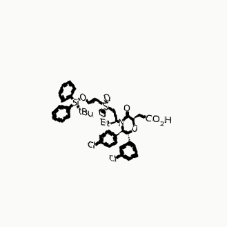 CC[C@@H](CS(=O)(=O)CCO[Si](c1ccccc1)(c1ccccc1)C(C)(C)C)N1C(=O)[C@@H](CC(=O)O)O[C@H](c2cccc(Cl)c2)[C@H]1c1ccc(Cl)cc1